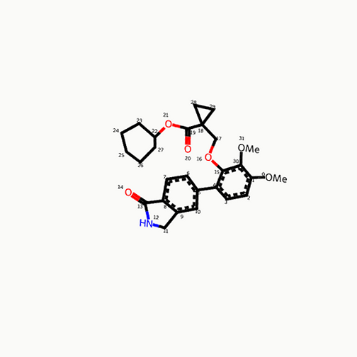 COc1ccc(-c2ccc3c(c2)CNC3=O)c(OCC2(C(=O)OC3CCCCC3)CC2)c1OC